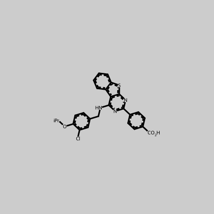 CC(C)Oc1ccc(CNc2nc(-c3ccc(C(=O)O)cc3)nc3sc4ccccc4c23)cc1Cl